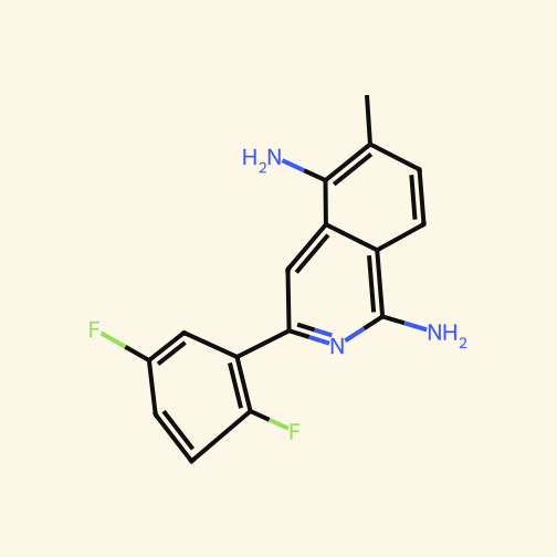 Cc1ccc2c(N)nc(-c3cc(F)ccc3F)cc2c1N